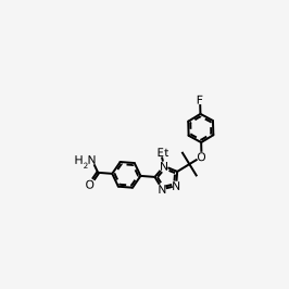 CCn1c(-c2ccc(C(N)=O)cc2)nnc1C(C)(C)Oc1ccc(F)cc1